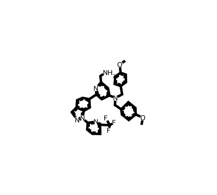 COc1ccc(CN(Cc2ccc(OC)cc2)c2cc(CN)nc(-c3ccc4cnn(-c5cccc(C(F)(F)F)n5)c4c3)c2)cc1